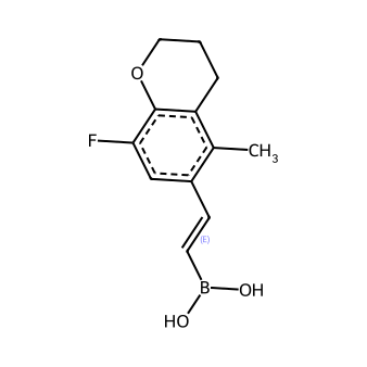 Cc1c(/C=C/B(O)O)cc(F)c2c1CCCO2